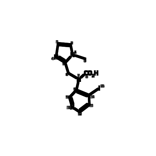 Cn1ccnc1CN(C(=O)O)c1cnccc1I